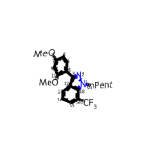 CCCCCn1nc(-c2ccc(OC)cc2OC)c2cccc(C(F)(F)F)c21